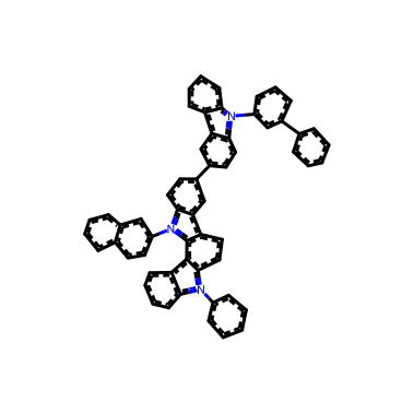 c1ccc(-c2cccc(-n3c4ccccc4c4cc(-c5ccc6c(c5)c5ccc7c(c8ccccc8n7-c7ccccc7)c5n6-c5ccc6ccccc6c5)ccc43)c2)cc1